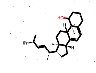 CC(C)[C@@H](C)/C=C/[C@@H](C)[C@H]1CC[C@H]2C3=CC=C4CCCC(O)[C@]4(C)[C@H]3CC[C@]12C